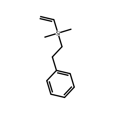 C=C[Si](C)(C)CCc1ccccc1